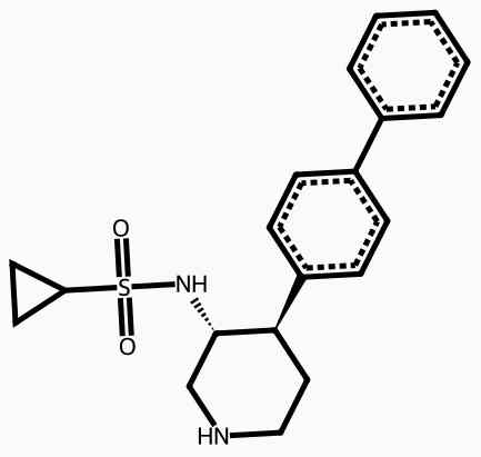 O=S(=O)(N[C@H]1CNCC[C@@H]1c1ccc(-c2ccccc2)cc1)C1CC1